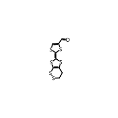 O=CC1=CS/C(=C2/SC3=C(SSCC3)S2)S1